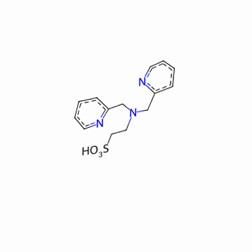 O=S(=O)(O)CCN(Cc1ccccn1)Cc1ccccn1